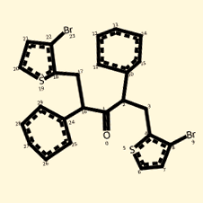 O=C(C(Cc1sccc1Br)c1ccccc1)C(Cc1sccc1Br)c1ccccc1